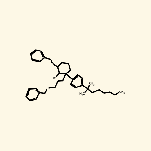 CCCCCCC(C)(C)c1ccc(C2(CCCOCc3ccccc3)CCCC(OCc3ccccc3)C2O)cc1